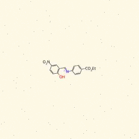 CCOC(=O)c1ccc(/N=C/c2cc([N+](=O)[O-])ccc2O)cc1